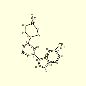 CC(=O)N1CCN(c2cccc(-c3cnc4ccc(C(F)(F)F)cn34)n2)CC1